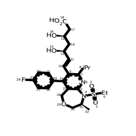 CCS(=O)(=O)N1c2nc(C(C)C)c(/C=C/[C@@H](O)C[C@@H](O)CC(=O)O)c(-c3ccc(F)cc3)c2COC[C@@H]1C